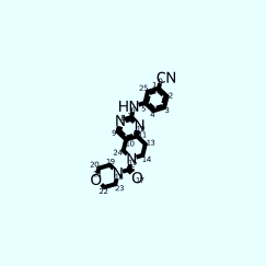 N#Cc1cccc(Nc2ncc3c(n2)CCN(C(=O)N2CCOCC2)C3)c1